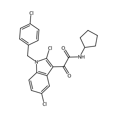 O=C(NC1CCCC1)C(=O)c1c(Cl)n(Cc2ccc(Cl)cc2)c2ccc(Cl)cc12